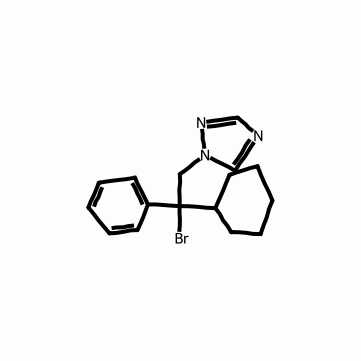 BrC(Cn1cncn1)(c1ccccc1)C1CCCCC1